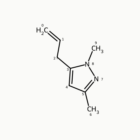 C=C[CH]c1cc(C)nn1C